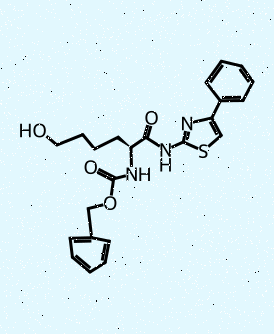 O=C(N[C@@H](CCCCO)C(=O)Nc1nc(-c2ccccc2)cs1)OCc1ccccc1